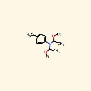 CCOC(C)N(c1ccc(C)cc1)C(C)OCC